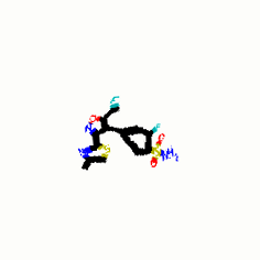 Cc1csc(-c2noc(CF)c2-c2ccc(S(N)(=O)=O)c(F)c2)n1